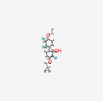 CCOc1ccc(-c2ccc(OCC3CC3)c(F)c2O)c(F)c1F